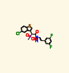 CP(=O)(O)C(C(=O)NC=Cc1cc(F)cc(F)c1)c1csc2ccc(Cl)cc12